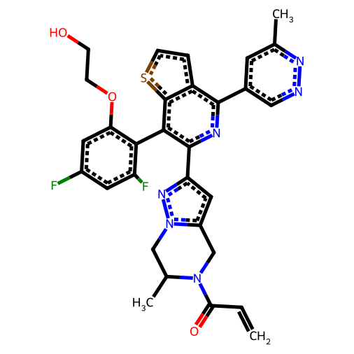 C=CC(=O)N1Cc2cc(-c3nc(-c4cnnc(C)c4)c4ccsc4c3-c3c(F)cc(F)cc3OCCO)nn2CC1C